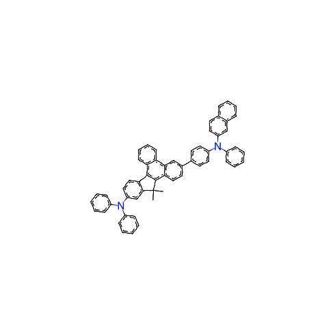 CC1(C)c2cc(N(c3ccccc3)c3ccccc3)ccc2-c2c1c1ccc(-c3ccc(N(c4ccccc4)c4ccc5ccccc5c4)cc3)cc1c1ccccc21